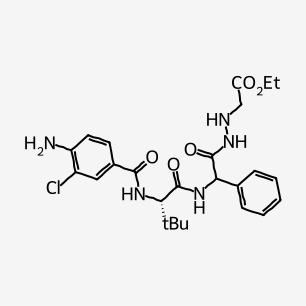 CCOC(=O)CNNC(=O)C(NC(=O)[C@@H](NC(=O)c1ccc(N)c(Cl)c1)C(C)(C)C)c1ccccc1